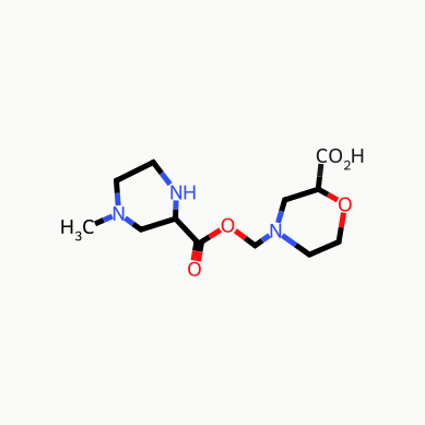 CN1CCNC(C(=O)OCN2CCOC(C(=O)O)C2)C1